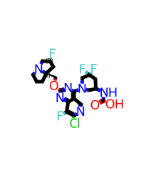 O=C(O)NC1CN(c2nc(OC[C@@]34CCCN3C[C@H](F)C4)nc3c(F)c(Cl)ncc23)CC(F)(F)C1